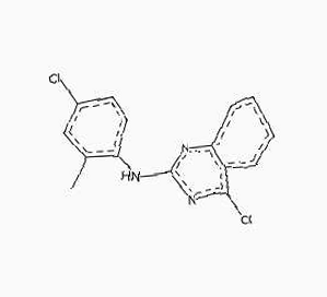 Cc1cc(Cl)ccc1Nc1nc(Cl)c2ccccc2n1